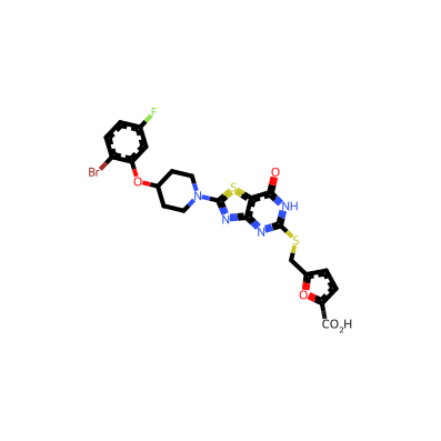 O=C(O)c1ccc(CSc2nc3nc(N4CCC(Oc5cc(F)ccc5Br)CC4)sc3c(=O)[nH]2)o1